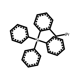 CC(C)Cc1ccccc1[Si](c1ccccc1)(c1ccccc1)c1ccccc1